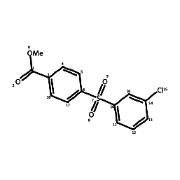 COC(=O)c1ccc(S(=O)(=O)c2cccc(Cl)c2)cc1